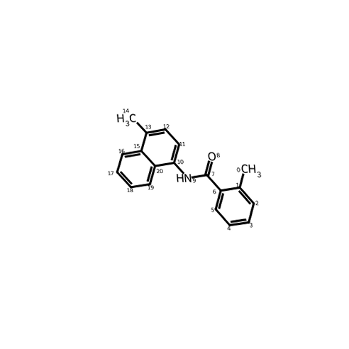 Cc1ccccc1C(=O)Nc1ccc(C)c2ccccc12